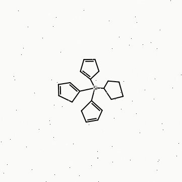 C1=CCC([Si](C2=CC=CC2)(C2=CC=CC2)C2CCCC2)=C1